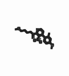 COCCCCNc1nccc(-c2ccc(OC)cc2C)c1[N+](=O)[O-]